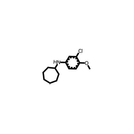 COc1ccc(NC2CC[CH]CCC2)cc1Cl